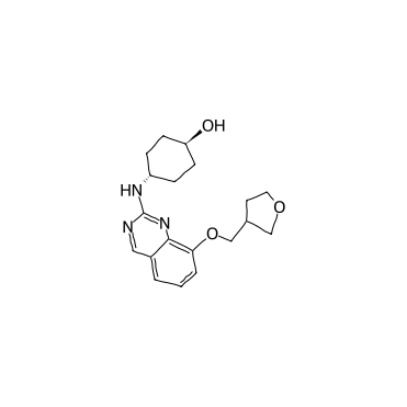 O[C@H]1CC[C@H](Nc2ncc3cccc(OCC4CCOC4)c3n2)CC1